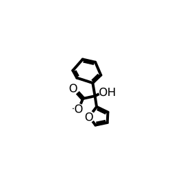 [O]C(=O)C(O)(c1ccccc1)c1ccco1